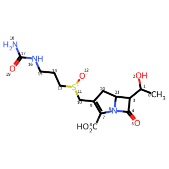 CC(O)C1C(=O)N2C(C(=O)O)=C(C[S+]([O-])CCCNC(N)=O)CC12